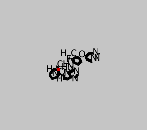 C=CC(=O)N1[C@H]2CC[C@@H]1[C@H](c1ccc3ncnc(Nc4ccc(Oc5ccn6ncnc6c5)c(C)c4F)c3n1)CC2